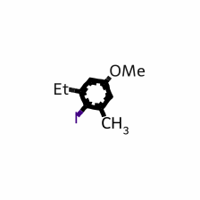 CCc1cc(OC)cc(C)c1I